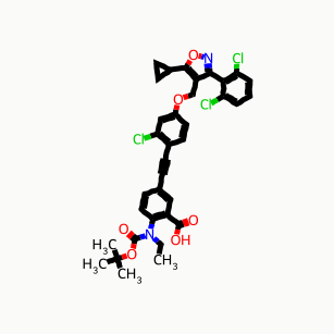 CCN(C(=O)OC(C)(C)C)c1ccc(C#Cc2ccc(OCc3c(-c4c(Cl)cccc4Cl)noc3C3CC3)cc2Cl)cc1C(=O)O